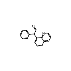 O=CC(c1ccccc1)c1cccc2cccnc12